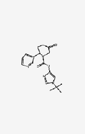 CC(C)(C)n1cc(OC(=O)N2CC(=O)CCC2c2cccnc2)nn1